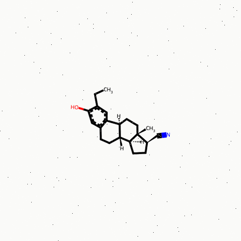 CCc1cc2c(cc1O)CC[C@@H]1[C@@H]2CC[C@]2(C)[C@@H](C#N)CC[C@@H]12